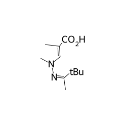 C/C(=N/N(C)/C=C(\C)C(=O)O)C(C)(C)C